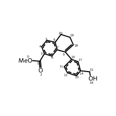 COC(=O)c1ccc2c(c1)C(c1cccc(CO)c1)=CCC2